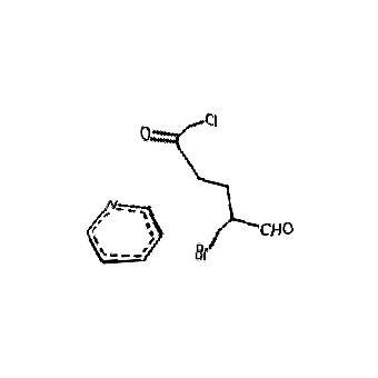 O=CC(Br)CCC(=O)Cl.c1ccncc1